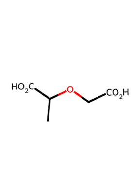 CC(OCC(=O)O)C(=O)O